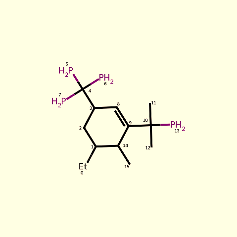 CCC1CC(C(P)(P)P)C=C(C(C)(C)P)C1C